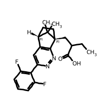 CCC(C[C@@]12CC[C@@H](c3cc(-c4c(F)cccc4F)nnc31)C2(C)C)C(=O)O